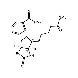 CNC(=O)CCCC[C@@H]1SC[C@@H]2NC(=O)N[C@@H]21.CNC(=O)c1ccccc1